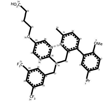 COc1ccc(C(C)C)cc1-c1ccc(C)nc1CN(Cc1cc(C(F)(F)F)cc(C(F)(F)F)c1)c1ncc(OCCCC(=O)O)cn1